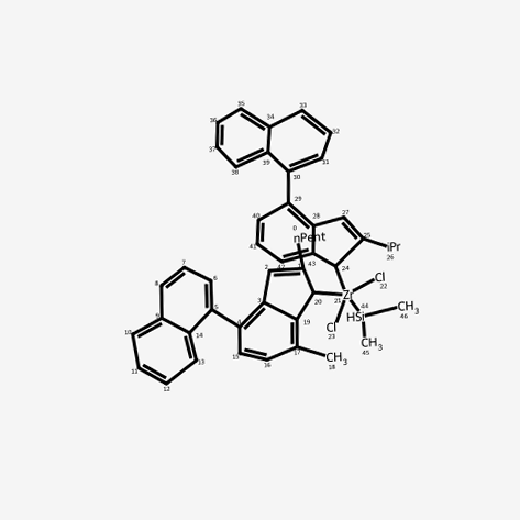 CCCCCC1=Cc2c(-c3cccc4ccccc34)ccc(C)c2[CH]1[Zr]([Cl])([Cl])([CH]1C(C(C)C)=Cc2c(-c3cccc4ccccc34)cccc21)[SiH](C)C